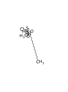 CCCCCCCCCCCCCCCCCCN(C(=O)[C@@H]1CSC(c2ccccc2)N1)S(C)(=O)=O